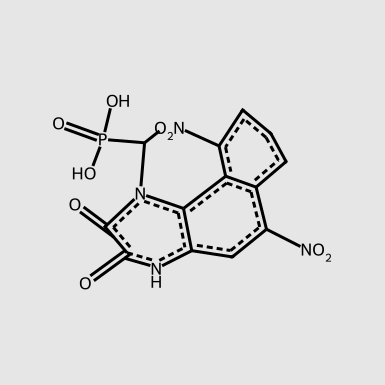 CC(n1c(=O)c(=O)[nH]c2cc([N+](=O)[O-])c3cccc([N+](=O)[O-])c3c21)P(=O)(O)O